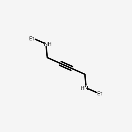 CCNCC#CCNCC